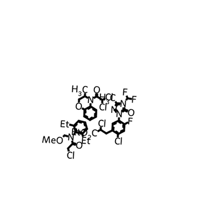 CC1COc2ccccc2N1C(=O)C(Cl)Cl.CCOC(=O)C(Cl)Cc1cc(-n2nc(C)n(C(F)F)c2=O)c(F)cc1Cl.CCc1cccc(CC)c1N(COC)C(=O)CCl